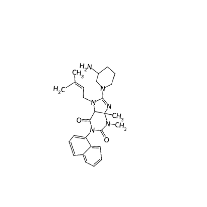 CC(C)=CCN1C(N2CCCC(N)C2)=NC2(C)C1C(=O)N(c1cccc3ccccc13)C(=O)N2C